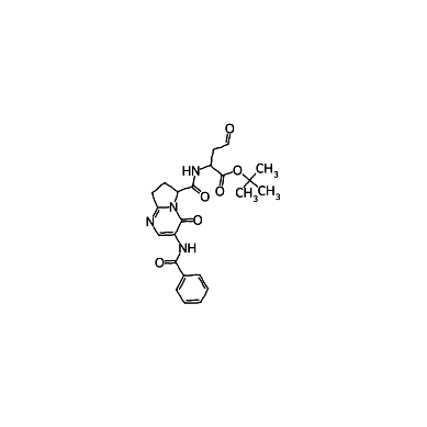 CC(C)(C)OC(=O)C(CC=O)NC(=O)C1CCc2ncc(NC(=O)c3ccccc3)c(=O)n21